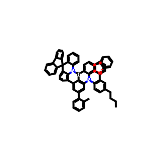 CCCCc1ccc(N2c3cc(-c4ccccc4C)cc4c3B(c3ccc5c(oc6ccccc65)c32)N2c3ccccc3C3(c5ccccc5-c5ccccc53)c3cccc-4c32)c(-c2ccccc2)c1